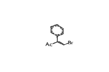 CC(=O)/C(=C/Br)c1ccccc1